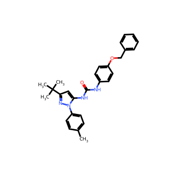 Cc1ccc(-n2nc(C(C)(C)C)cc2NC(=O)Nc2ccc(OCc3ccccc3)cc2)cc1